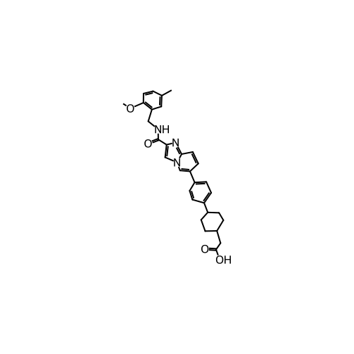 COc1ccc(C)cc1CNC(=O)c1cn2cc(-c3ccc(C4CCC(CC(=O)O)CC4)cc3)ccc2n1